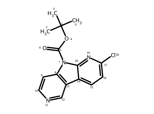 CC(C)(C)OC(=O)n1c2ccncc2c2ccc(Cl)nc21